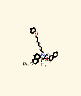 COc1ccc2c3c(ccc2c1)N(CCCCCCCCOc1ccccc1)C1(C=Nc2c(ccc4ccccc24)O1)C3(C)C